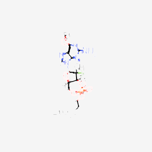 CCOC(=O)CCOP1(=O)OC[C@H]2O[C@@H](n3cnc4c(OCC)nc(N)nc43)[C@](C)(F)[C@@H]2O1